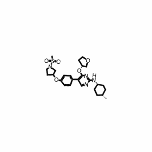 CS(=O)(=O)N1CCC(Oc2ccc(-c3cnc(N[C@H]4CC[C@@H](C)CC4)nc3O[C@@H]3CCOC3)cc2)C1